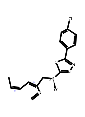 C=N/C(=C\C=C/C)C[S@+]([O-])c1nnc(-c2ccc(Cl)cc2)o1